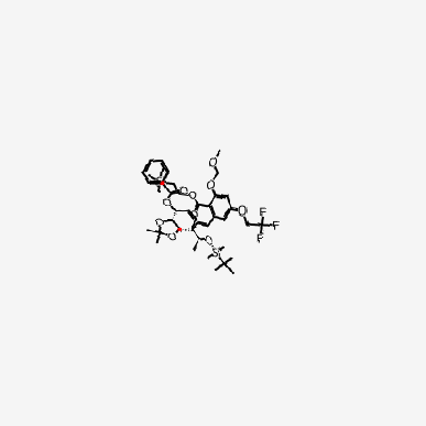 COCOc1cc(OCC(F)(F)F)cc(/C=C/C[C@@H]2OC(C)(C)O[C@@H]2C(/C=C\[C@@H](C)[C@H](C)O[Si](C)(C)C(C)(C)C)OC(=O)c2ccccc2)c1C(=O)OCC[Si](C)(C)C